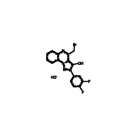 Oc1c2c(CBr)nc3ccccc3[n+]2nn1-c1ccc(F)c(F)c1.[OH-]